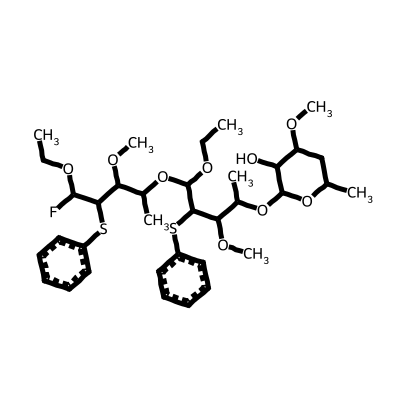 CCOC(F)C(Sc1ccccc1)C(OC)C(C)OC(OCC)C(Sc1ccccc1)C(OC)C(C)OC1OC(C)CC(OC)C1O